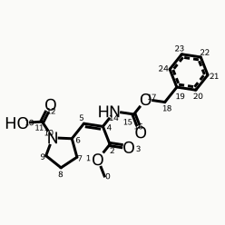 COC(=O)/C(=C\C1CCCN1C(=O)O)NC(=O)OCc1ccccc1